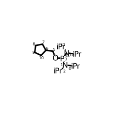 CC(C)N(C(C)C)P(OCC1CCCC1)N(C(C)C)C(C)C